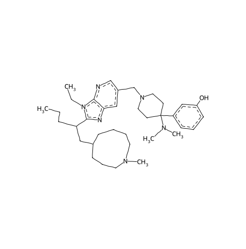 CCCC(CC1CCCCN(C)CCC1)c1nc2cc(CN3CCC(c4cccc(O)c4)(N(C)C)CC3)cnc2n1CC